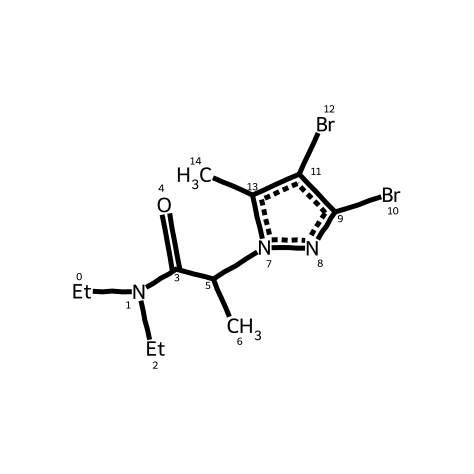 CCN(CC)C(=O)C(C)n1nc(Br)c(Br)c1C